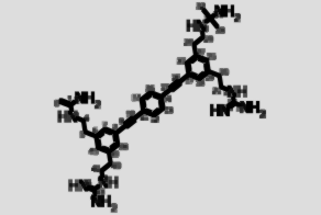 C=C(N)NCCc1cc(C#Cc2ccc(C#Cc3cc(CCNC(=N)N)cc(CCNC(C)(C)N)c3)cc2)cc(CCNC(=N)N)c1